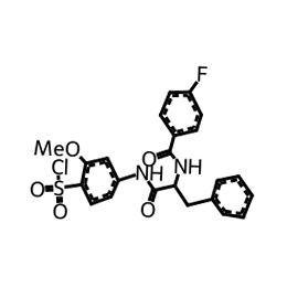 COc1cc(NC(=O)C(Cc2ccccc2)NC(=O)c2ccc(F)cc2)ccc1S(=O)(=O)Cl